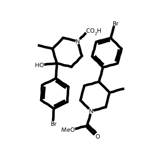 CC1CN(C(=O)O)CCC1(O)c1ccc(Br)cc1.COC(=O)N1CCC(c2ccc(Br)cc2)C(C)C1